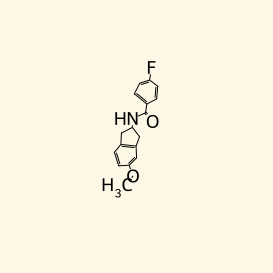 COc1ccc2c(c1)CC(NC(=O)c1ccc(F)cc1)C2